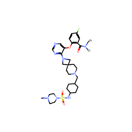 CCN(C(=O)c1cc(F)ccc1Oc1cncnc1N1CC2(CCN(CC3CCC(NS(=O)(=O)N4CCN(C)CC4)CC3)CC2)C1)C(C)C